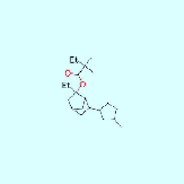 CCC(C)(C)C(=O)OC1(CC)CC2CC(C3CCC(C)C3)C1C2